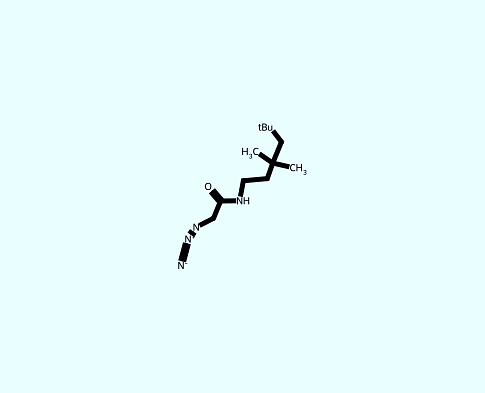 CC(C)(C)CC(C)(C)CCNC(=O)CN=[N+]=[N-]